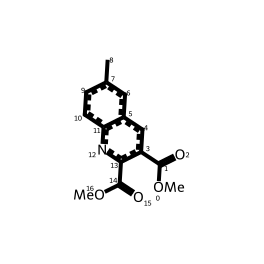 COC(=O)c1cc2cc(C)ccc2nc1C(=O)OC